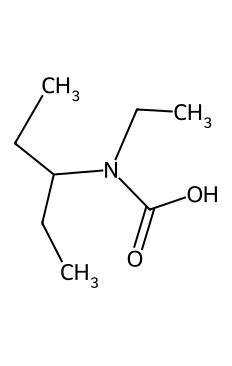 CCC(CC)N(CC)C(=O)O